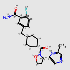 Cc1cncc([C@@H]2CCON2C(=O)[C@H]2CC[C@H](Cc3ccc(F)c(C(N)=O)c3)CC2)n1